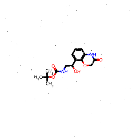 CC(C)(C)OC(=O)NCC(O)c1cccc2c1OCC(=O)N2